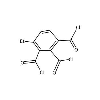 CCc1ccc(C(=O)Cl)c(C(=O)Cl)c1C(=O)Cl